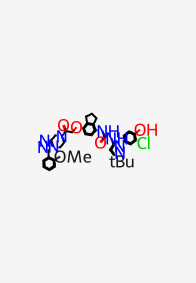 COc1ccccc1-c1nnc2n1CCN(C(=O)COc1ccc(NC(=O)Nc3cc(C(C)(C)C)nn3-c3ccc(O)c(Cl)c3)c3c1CCC3)C2